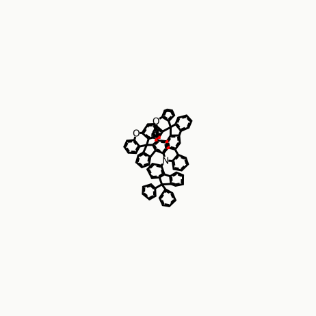 c1ccc(C2(c3ccccc3)c3ccccc3-c3c(N(c4ccccc4-c4ccc5c(c4)-c4ccccc4C54c5ccccc5Oc5ccccc54)c4cccc5c4-c4ccccc4C54c5ccccc5Oc5ccccc54)cccc32)cc1